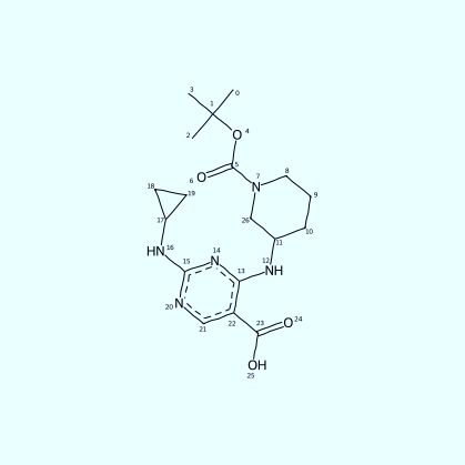 CC(C)(C)OC(=O)N1CCCC(Nc2nc(NC3CC3)ncc2C(=O)O)C1